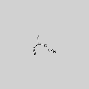 [C]C(=O)C=C.[Co].[Ni]